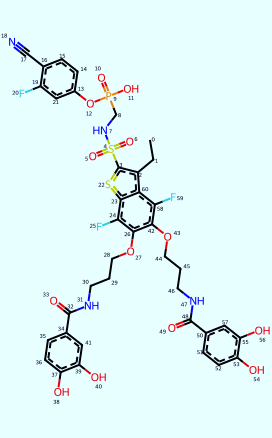 CCc1c(S(=O)(=O)NCP(=O)(O)Oc2ccc(C#N)c(F)c2)sc2c(F)c(OCCCNC(=O)c3ccc(O)c(O)c3)c(OCCCNC(=O)c3ccc(O)c(O)c3)c(F)c12